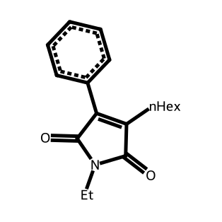 CCCCCCC1=C(c2ccccc2)C(=O)N(CC)C1=O